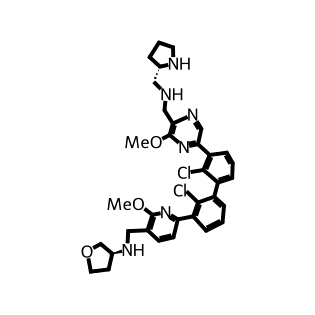 COc1nc(-c2cccc(-c3cccc(-c4cnc(CNC[C@@H]5CCCN5)c(OC)n4)c3Cl)c2Cl)ccc1CN[C@H]1CCOC1